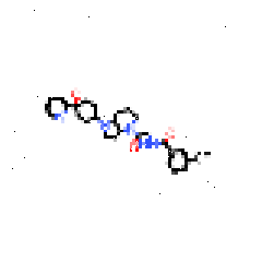 O=C(NCC(=O)N1CCCC2C1CCN2C1CCC(O)(c2ccccn2)CC1)c1cccc(C(F)(F)F)c1